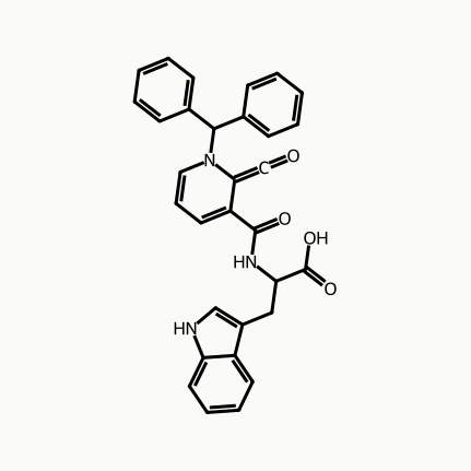 O=C=C1C(C(=O)NC(Cc2c[nH]c3ccccc23)C(=O)O)=CC=CN1C(c1ccccc1)c1ccccc1